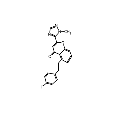 Cn1ncnc1-c1cc(=O)c2c(CCc3ccc(F)cc3)cccc2o1